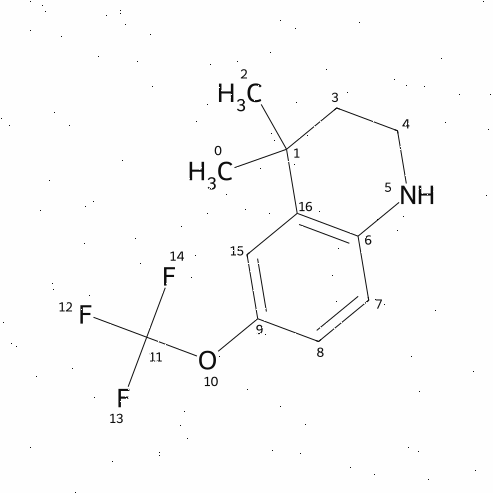 CC1(C)CCNc2ccc(OC(F)(F)F)cc21